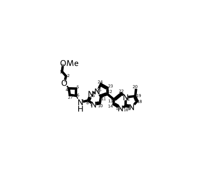 COCCO[C@H]1C[C@H](Nc2ncc3c(-c4cnc5ncc(C)n5c4)ccn3n2)C1